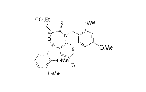 CCOC(=O)C[C@@H]1O[C@@H](c2cccc(OC)c2OC)c2cc(Cl)ccc2N(Cc2ccc(OC)cc2OC)C1=S